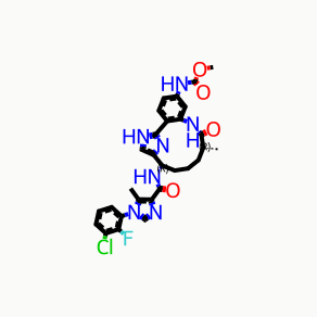 COC(=O)Nc1ccc2c(c1)NC(=O)[C@H](C)CCC[C@@H](NC(=O)c1ncn(-c3cccc(Cl)c3F)c1C)c1c[nH]c-2n1